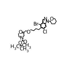 CC(C)(C)OC(=O)N1CCO[C@@H](COCCCCc2c(Cl)cc3c(cnn3C3CCCCO3)c2Br)C1